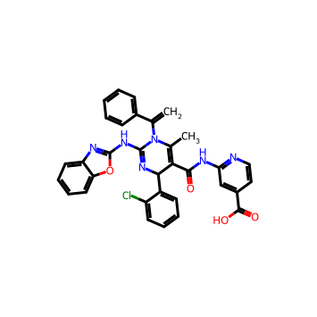 C=C(c1ccccc1)N1C(Nc2nc3ccccc3o2)=NC(c2ccccc2Cl)C(C(=O)Nc2cc(C(=O)O)ccn2)=C1C